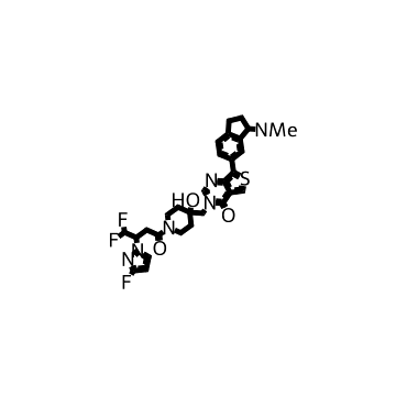 CNC1CCc2ccc(-c3scc4c(=O)n(CC5(O)CCN(C(=O)CC(C(F)F)n6ccc(F)n6)CC5)cnc34)cc21